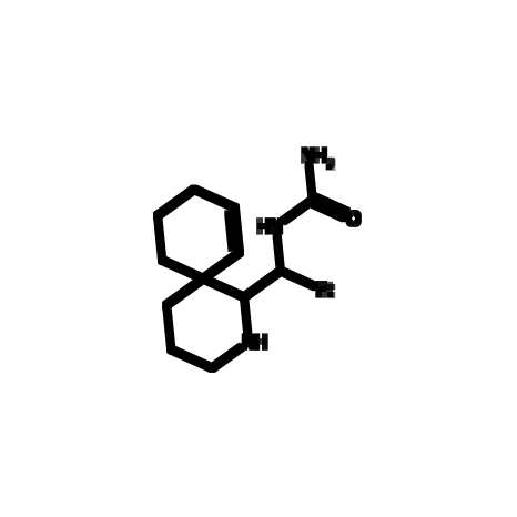 CCC(NC(N)=O)C1NCCCC12C=CCCC2